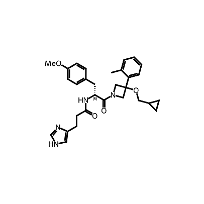 COc1ccc(C[C@@H](NC(=O)CCc2c[nH]cn2)C(=O)N2CC(OCC3CC3)(c3ccccc3C)C2)cc1